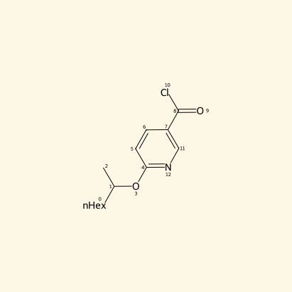 CCCCCCC(C)Oc1ccc(C(=O)Cl)cn1